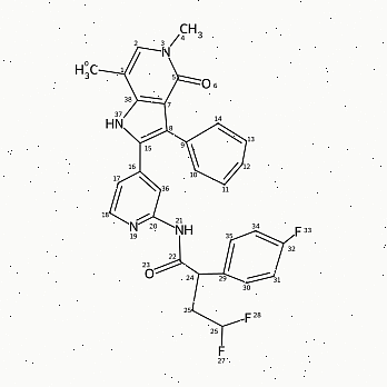 Cc1cn(C)c(=O)c2c(-c3ccccc3)c(-c3ccnc(NC(=O)C(CC(F)F)c4ccc(F)cc4)c3)[nH]c12